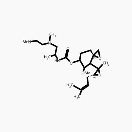 CNCCN(C)CC(C)NC(=O)OC1CC[C@]2(CO2)C(C2(C)O[C@@H]2CC=C(C)C)C1OC